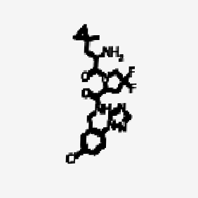 CC1(C[C@@H](N)C(=O)N2CC(F)(F)CC2C(=O)NCc2cc(Cl)ccc2-n2cncn2)CC1